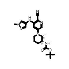 C[C@@H]1[C@H](NC(=O)OC(C)(C)C)CCCN1c1cnc(C#N)c(Nc2cnn(C)c2)c1